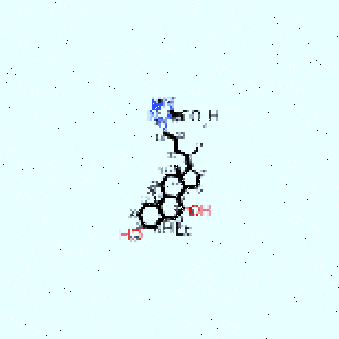 CC[C@H]1[C@@H](O)C2C3CC[C@H]([C@H](C)CCCn4nnnc4C(=O)O)C3(C)CCC2[C@@]2(C)CC[C@@H](O)C[C@@H]12